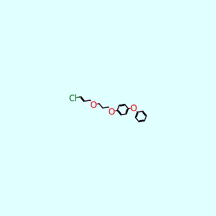 ClC=CCOCCCOc1ccc(Oc2ccccc2)cc1